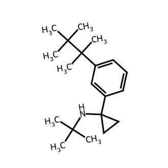 CC(C)(C)NC1(c2cccc(C(C)(C)C(C)(C)C)c2)CC1